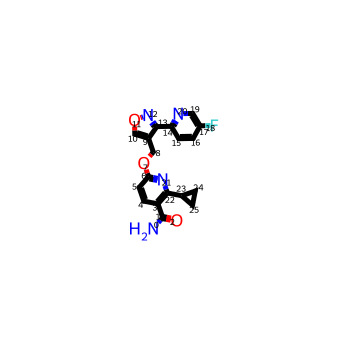 NC(=O)c1ccc(OCc2conc2-c2ccc(F)cn2)nc1C1CC1